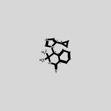 CC1(C)OC(=O)c2ccccc2C1n1cncc1C1CC1